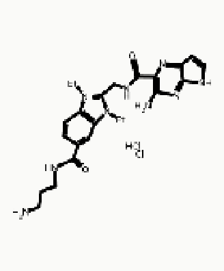 CCn1c(CNC(=O)c2nc3cc[nH]c3nc2N)[n+](CC)c2ccc(C(=O)NCCCN)cc21.Cl.[Cl-]